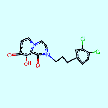 O=c1ccn2ccn(CCCc3ccc(Cl)c(Cl)c3)c(=O)c2c1O